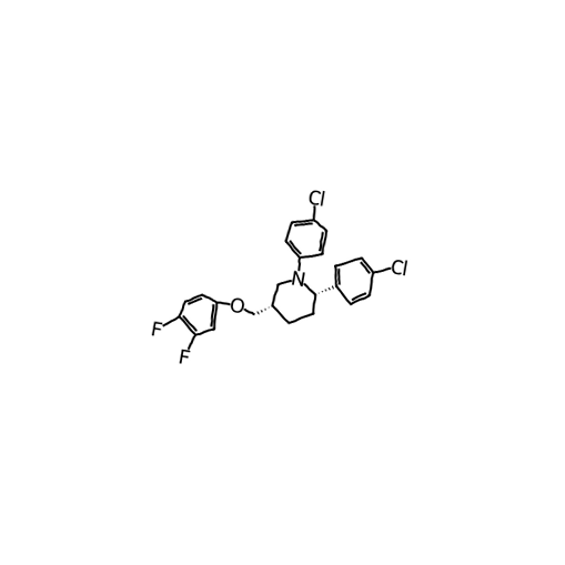 Fc1ccc(OC[C@H]2CC[C@@H](c3ccc(Cl)cc3)N(c3ccc(Cl)cc3)C2)cc1F